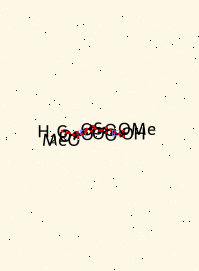 C=CC(=O)CCc1ccc(/C=C/C(=O)Oc2ccc(SC(=O)c3ccc(OC(=O)/C=C/c4ccc(O)c(OC)c4)cc3)cc2)cc1OC